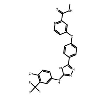 CNC(=O)c1cc(Oc2ccc(-c3nnc(Nc4ccc(Cl)c(C(F)(F)F)c4)[nH]3)cc2)ccn1